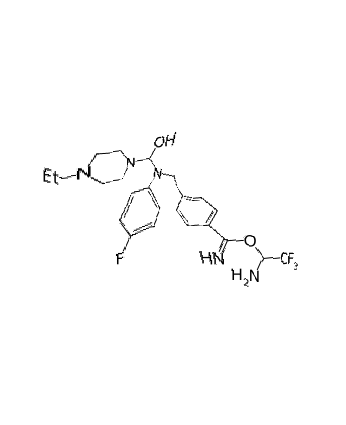 CCN1CCN(C(O)N(Cc2ccc(C(=N)OC(N)C(F)(F)F)cc2)c2ccc(F)cc2)CC1